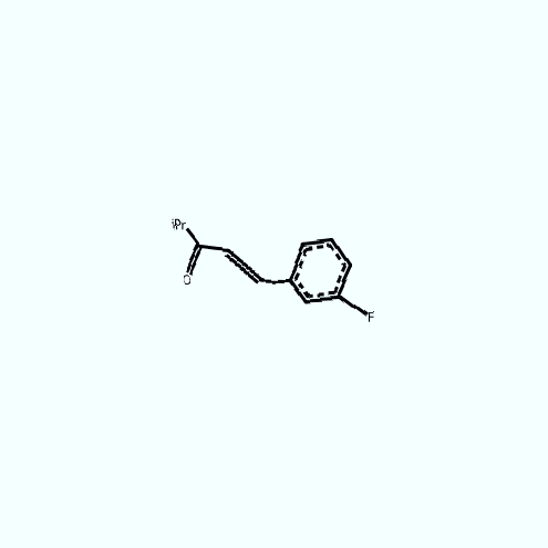 CC(C)C(=O)C=Cc1cccc(F)c1